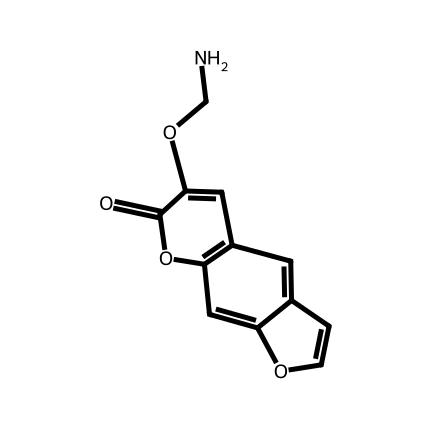 NCOc1cc2cc3ccoc3cc2oc1=O